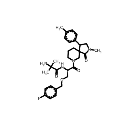 Cc1ccc(C2CN(C)C(=O)C23CCCN(C(=O)[C@@H](COCc2ccc(F)cc2)NC(=O)C(C)(C)N)C3)cc1